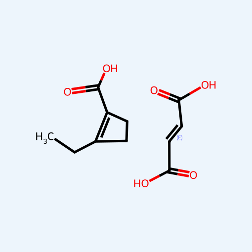 CCC1=C(C(=O)O)CC1.O=C(O)/C=C/C(=O)O